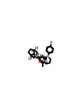 Cc1cc(N2C[C@H]3CC[C@@H](C2)[C@@H]3Nc2nc3n(n2)CCCN3c2ccc(F)cc2)ncn1